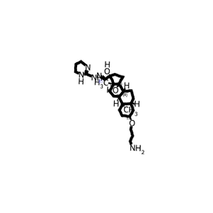 C[C@]12CC[C@H](OCCCN)C[C@H]1CC[C@@H]1[C@@H]2CC[C@]2(C)[C@@](O)(/C=N/NC3=NCCCN3)CC[C@]12O